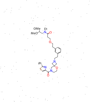 CCN(CC(OC)OC)C(=O)CCOCCc1cccc(CCN2CC3(C2)CN(C(=O)c2csc(C(C)C)n2)CCO3)c1